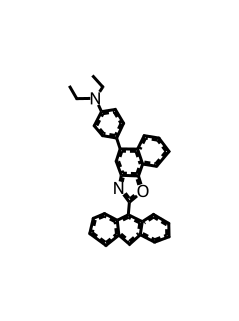 CCN(CC)c1ccc(-c2cc3nc(-c4c5ccccc5cc5ccccc45)oc3c3ccccc23)cc1